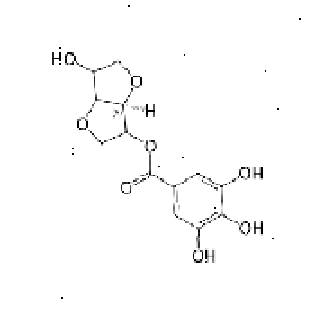 O=C(OC1COC2C(O)CO[C@@H]12)c1cc(O)c(O)c(O)c1